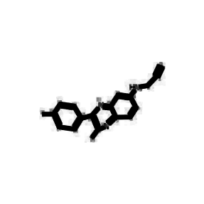 C#CCNc1ccc2nc(C)c(-c3ccc(C)cc3)nc2c1